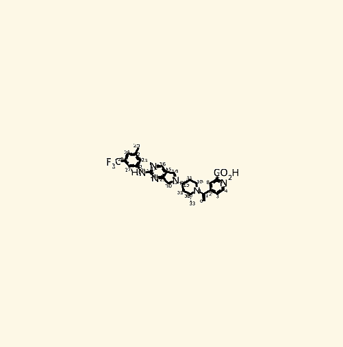 C=C(c1ccnc(C(=O)O)c1)N1CC[C@@H](N2Cc3cnc(Nc4cc(C)cc(C(F)(F)F)c4)nc3C2)C[C@H]1C